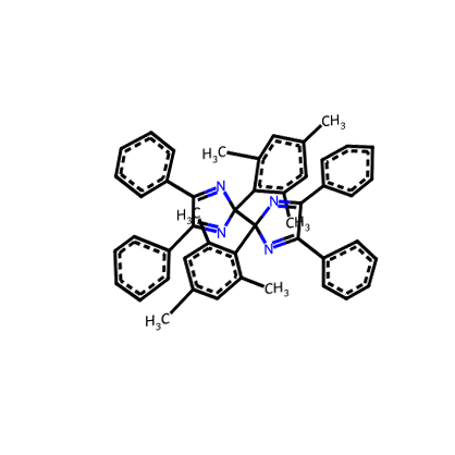 Cc1cc(C)c(C2(C3(c4c(C)cc(C)cc4C)N=C(c4ccccc4)C(c4ccccc4)=N3)N=C(c3ccccc3)C(c3ccccc3)=N2)c(C)c1